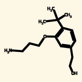 CC(C)(C)c1ccc(CCO)cc1OCCCN